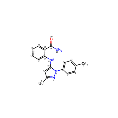 Cc1ccc(-n2nc(C(C)(C)C)cc2Nc2ccccc2C(N)=O)cc1